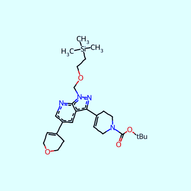 CC(C)(C)OC(=O)N1CC=C(c2nn(COCC[Si](C)(C)C)c3ncc(C4=CCOCC4)cc23)CC1